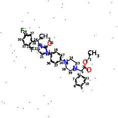 CCOC(=O)[C@H](c1ccccc1)N1CCN(c2ccc(-n3ccn(C(C)c4cc(F)ccc4F)c3=O)cc2)CC1